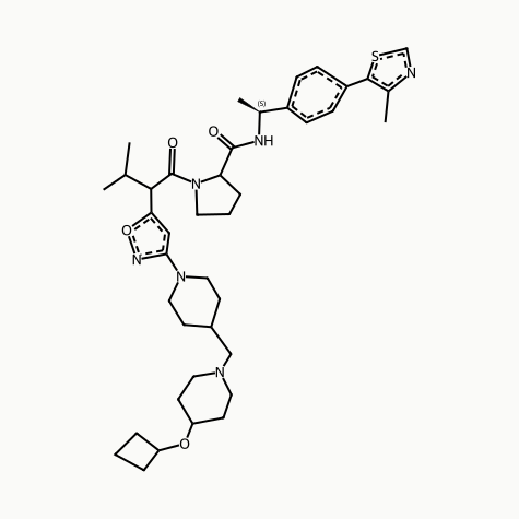 Cc1ncsc1-c1ccc([C@H](C)NC(=O)C2CCCN2C(=O)C(c2cc(N3CCC(CN4CCC(OC5CCC5)CC4)CC3)no2)C(C)C)cc1